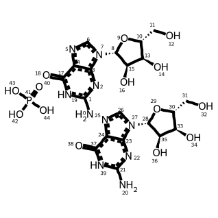 Nc1nc2c(ncn2[C@@H]2O[C@H](CO)[C@@H](O)[C@H]2O)c(=O)[nH]1.Nc1nc2c(ncn2[C@@H]2O[C@H](CO)[C@@H](O)[C@H]2O)c(=O)[nH]1.O=P(O)(O)O